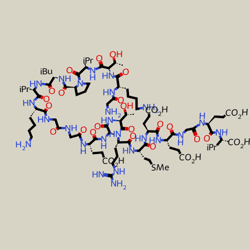 CC[C@H](C)[C@H](NC(=O)[C@@H]1CCCN1C(=O)[C@@H](NC(=O)[C@@H](NC(=O)[C@H](CCCCN)NC(=O)CN)[C@@H](C)O)C(C)C)C(=O)N[C@H](C(=O)N[C@@H](CCCCN)C(=O)NCC(=O)NCC(=O)N[C@@H](CCC(=O)O)C(=O)N[C@@H](C)C(=O)N[C@H](C(=O)N[C@@H](CCCNC(=N)N)C(=O)N[C@@H](CCSC)C(=O)N[C@@H](CCC(=O)O)C(=O)N[C@@H](CCC(=O)O)C(=O)NCC(=O)N[C@@H](CCC(=O)O)C(=O)N[C@H](C(=O)O)C(C)C)[C@@H](C)O)C(C)C